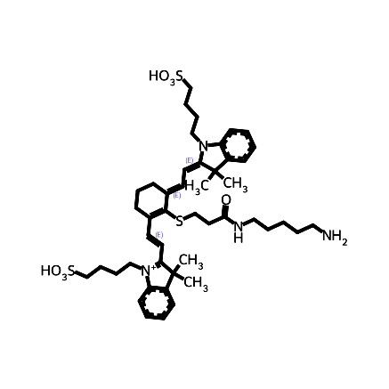 CC1(C)C(/C=C/C2=C(SCCC(=O)NCCCCCN)C(=C/C=C3/N(CCCCS(=O)(=O)O)c4ccccc4C3(C)C)/CCC2)=[N+](CCCCS(=O)(=O)O)c2ccccc21